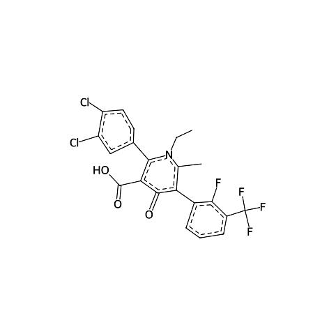 CCn1c(C)c(-c2cccc(C(F)(F)F)c2F)c(=O)c(C(=O)O)c1-c1ccc(Cl)c(Cl)c1